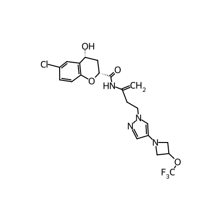 C=C(CCn1cc(N2CC(OC(F)(F)F)C2)cn1)NC(=O)[C@H]1C[C@@H](O)c2cc(Cl)ccc2O1